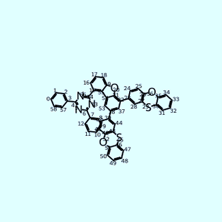 c1ccc(-c2nc(-c3ccccc3)nc(-c3cccc4oc5c(-c6ccc7c(c6)Sc6ccccc6O7)cc(-c6ccc7c(c6)Sc6ccccc6O7)cc5c34)n2)cc1